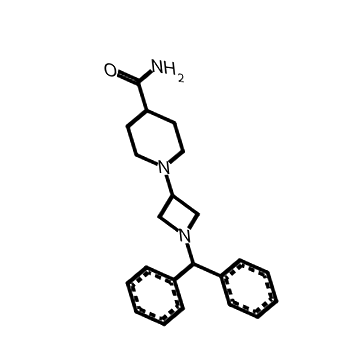 NC(=O)C1CCN(C2CN(C(c3ccccc3)c3ccccc3)C2)CC1